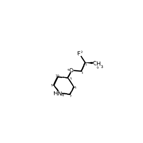 C[C@H](F)COC1CCNCC1